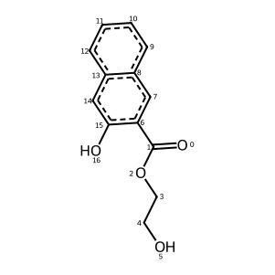 O=C(OCCO)c1cc2ccccc2cc1O